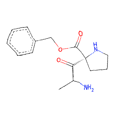 CC(N)C(=O)[C@@]1(C(=O)OCc2ccccc2)CCCN1